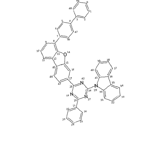 c1ccc(-c2ccc(-c3cccc4c3oc3cc(-c5nc(-c6ccccc6)nc(-n6c7ccccc7c7ccccc76)n5)ccc34)cc2)cc1